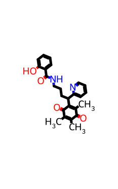 CC1=C(C)C(=O)C(C(CCCNC(=O)c2ccccc2O)c2ccccn2)=C(C)C1=O